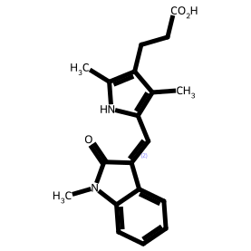 Cc1[nH]c(/C=C2\C(=O)N(C)c3ccccc32)c(C)c1CCC(=O)O